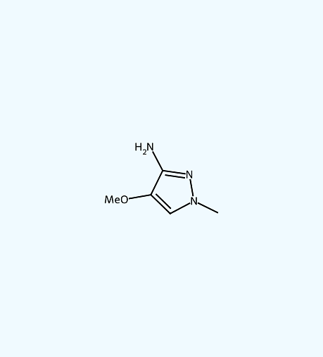 COc1cn(C)nc1N